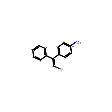 CC(C)(C)C=C(c1ccccc1)c1ccc(N)cc1